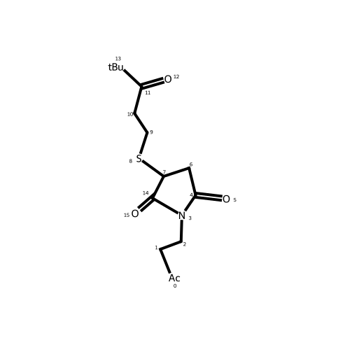 CC(=O)CCN1C(=O)CC(SCCC(=O)C(C)(C)C)C1=O